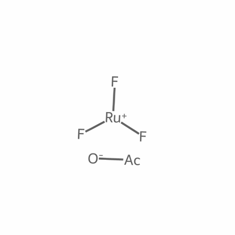 CC(=O)[O-].[F][Ru+]([F])[F]